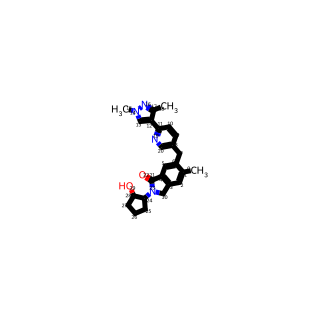 Cc1cc2c(cc1Cc1ccc(-c3cn(C)nc3C)nc1)C(=O)N(C1CCCC1O)C2